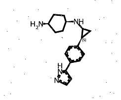 N[C@H]1CC[C@@H](NC2C[C@H]2c2ccc(-c3ccn[nH]3)cc2)CC1